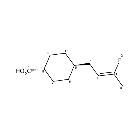 C/C(F)=C/C[C@H]1CC[C@H](C(=O)O)CC1